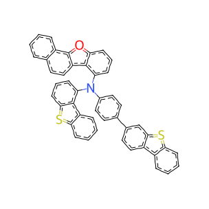 c1ccc2c(c1)ccc1c2oc2cccc(N(c3ccc(-c4ccc5c(c4)sc4ccccc45)cc3)c3cccc4sc5ccccc5c34)c21